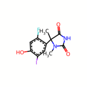 CN1C(=O)NC(=O)C1(C)c1cc(I)c(O)cc1F